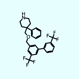 FC(F)(F)c1cccc(-c2cc(COCC3(c4ccccc4)CCNCC3)cc(C(F)(F)F)c2)c1